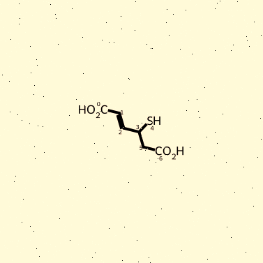 O=C(O)C=CC(S)CC(=O)O